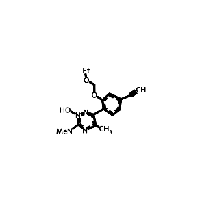 C#Cc1ccc(-c2n[n+](O)c(NC)nc2C)c(OCOCC)c1